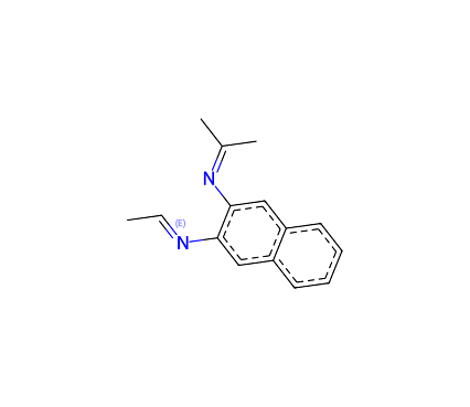 C/C=N/c1cc2ccccc2cc1N=C(C)C